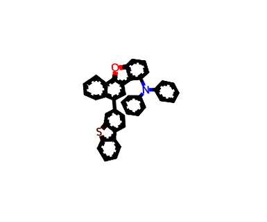 c1ccc(N(c2ccccc2)c2cccc3oc4c5ccccc5c(-c5ccc6c(c5)sc5ccccc56)cc4c23)cc1